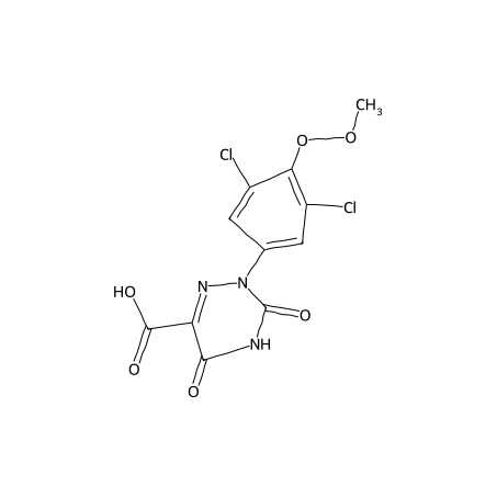 COOc1c(Cl)cc(-n2nc(C(=O)O)c(=O)[nH]c2=O)cc1Cl